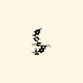 Cc1nc(N2C[C@H](O)[C@@H](N3CCN(C(=O)c4ccc(Cl)cc4)CC3)C2)c2cc(N3CCNC3=O)ccc2n1